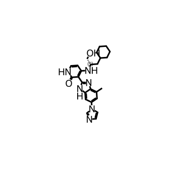 Cc1cc(-n2ccnc2)cc2[nH]c(-c3c(N[C@H](CO)CC4CCCCC4)cc[nH]c3=O)nc12